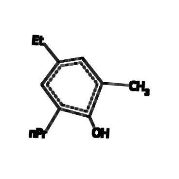 CCCc1cc(CC)cc(C)c1O